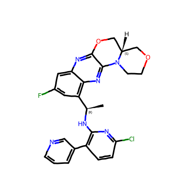 C[C@@H](Nc1nc(Cl)ccc1-c1cccnc1)c1cc(F)cc2nc3c(nc12)N1CCOC[C@H]1CO3